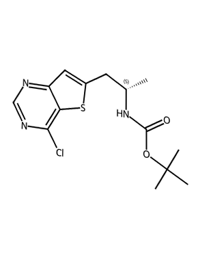 C[C@@H](Cc1cc2ncnc(Cl)c2s1)NC(=O)OC(C)(C)C